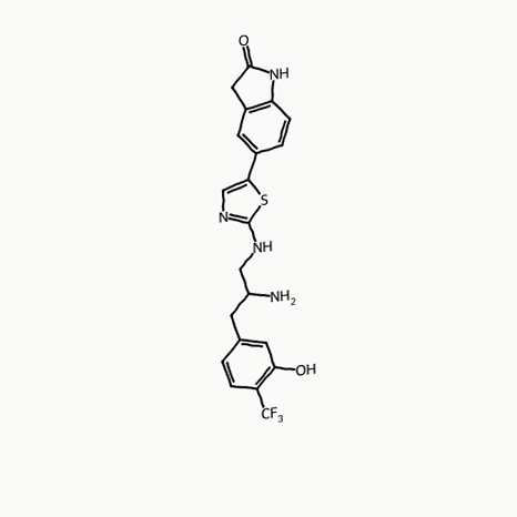 NC(CNc1ncc(-c2ccc3c(c2)CC(=O)N3)s1)Cc1ccc(C(F)(F)F)c(O)c1